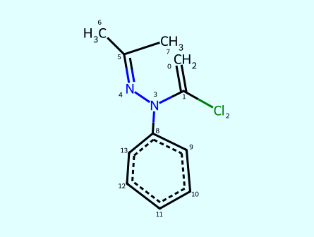 C=C(Cl)N(N=C(C)C)c1ccccc1